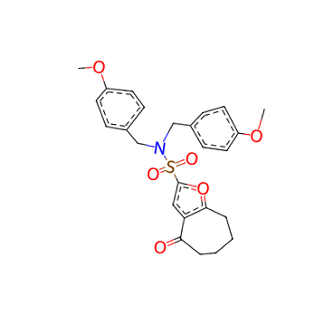 COc1ccc(CN(Cc2ccc(OC)cc2)S(=O)(=O)c2cc3c(o2)CCCCC3=O)cc1